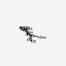 C#C[C@@]1(c2ccc3c(C)ncnn23)O[C@H](COP(=O)(O)OC[C@@H](COCCCCCCCCCCCCCCC)OCc2cc(F)cc(C#N)c2)[C@@H](O)[C@H]1O